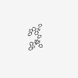 c1ccc(-c2nc(-c3cccc(-c4ccc5c(c4)nc(-c4ccccc4)c4ccc6sc7ccccc7c6c45)c3)nc(-c3cccc4c3oc3ccccc34)n2)cc1